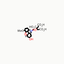 COc1ccc2c3c1O[C@H]1C[C@@H](O)C=C[C@@]31CCN(C)C2.O=C(O)CC(O)(CC(=O)O)C(=O)O